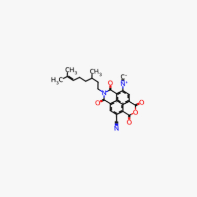 [C-]#[N+]c1cc2c3c(c(C#N)cc4c3c1C(=O)N(CCC(C)CCC=C(C)C)C4=O)C(=O)OC2=O